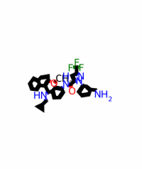 COc1ccc2ccccc2c1C(NCC1CC1)c1cccc(NC(=O)c2cc(C(F)(F)F)nn2-c2cccc(CN)c2)c1